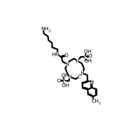 Cc1ccc2nc(CN3CCN(CP(=O)(O)O)CCN(CC(=O)NCCCCCCN)CCN(CP(=O)(O)O)CC3)ccc2c1